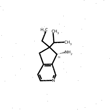 CCC1(C(C)C)Cc2ccncc2[C@H]1N